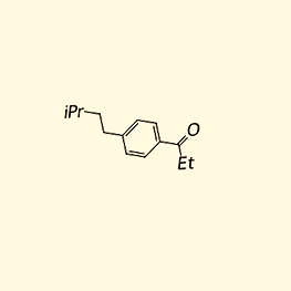 CCC(=O)c1ccc(CCC(C)C)cc1